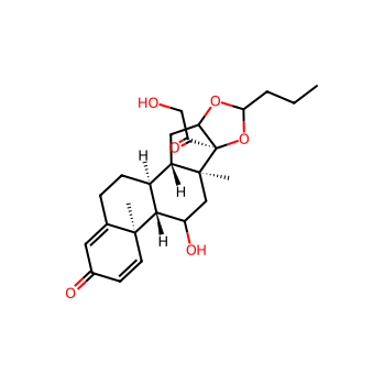 CCCC1OC2C[C@H]3[C@@H]4CCC5=CC(=O)C=C[C@]5(C)[C@H]4C(O)C[C@]3(C)[C@]2(C(=O)CO)O1